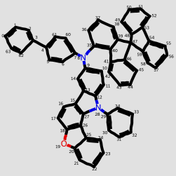 c1ccc(-c2ccc(N(c3ccc4c(c3)c3ccc5oc6ccccc6c5c3n4-c3ccccc3)c3cccc4c3-c3ccccc3C43c4ccccc4-c4ccccc43)cc2)cc1